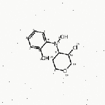 Oc1ccccc1N(O)C1CCO[CH]C1Cl